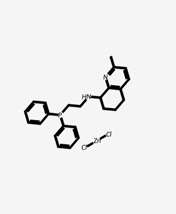 Cc1ccc2c(n1)C(NCCP(c1ccccc1)c1ccccc1)CCC2.[Cl][Zn][Cl]